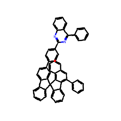 c1ccc(-c2cc3ccccc3c3c2-c2ccccc2C32c3ccccc3-c3ccc(-c4ccc(-c5nc(-c6ccccc6)c6ccccc6n5)cc4)cc32)cc1